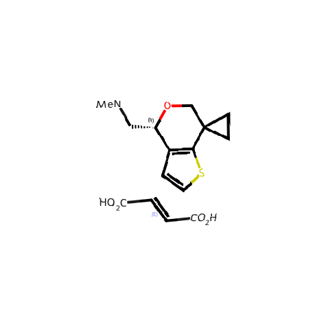 CNC[C@@H]1OCC2(CC2)c2sccc21.O=C(O)/C=C/C(=O)O